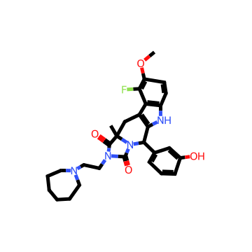 COc1ccc2[nH]c3c(c2c1F)CC1(C)C(=O)N(CCN2CCCCCC2)C(=O)N1C3c1cccc(O)c1